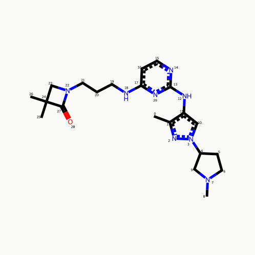 Cc1nn(C2CCN(C)C2)cc1Nc1nccc(NCCCN2CC(C)(C)C2=O)n1